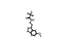 COc1ccc2c(c1)C(CCNC(=O)C(F)(F)F)CC2